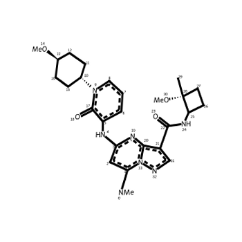 CNc1cc(Nc2cccn([C@H]3CC[C@H](OC)CC3)c2=O)nc2c(C(=O)NC3CC[C@@]3(C)OC)cnn12